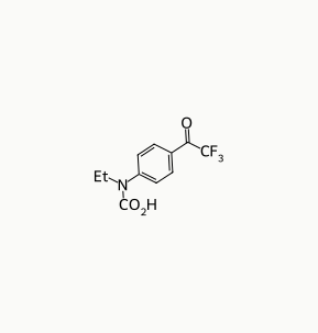 CCN(C(=O)O)c1ccc(C(=O)C(F)(F)F)cc1